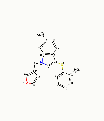 CNc1ccc2c(Sc3ccccc3[N+](=O)[O-])cn(Cc3ccoc3)c2c1